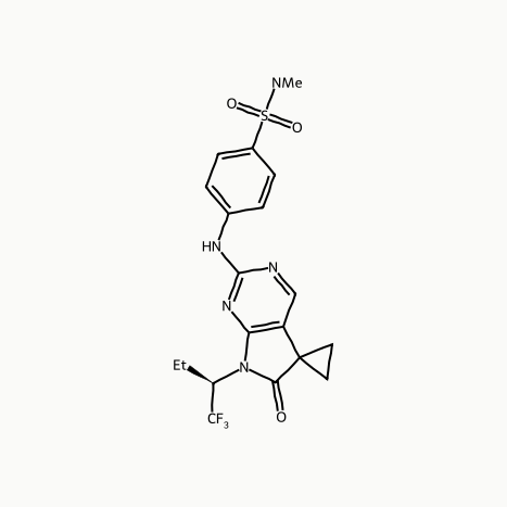 CC[C@@H](N1C(=O)C2(CC2)c2cnc(Nc3ccc(S(=O)(=O)NC)cc3)nc21)C(F)(F)F